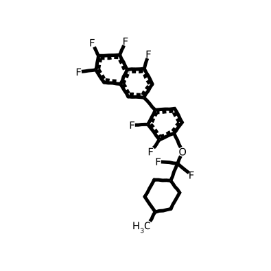 CC1CCC(C(F)(F)Oc2ccc(-c3cc(F)c4c(F)c(F)c(F)cc4c3)c(F)c2F)CC1